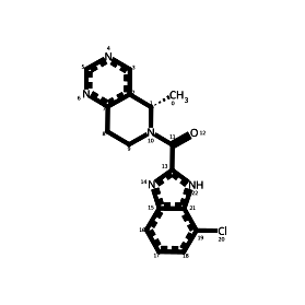 C[C@H]1c2cncnc2CCN1C(=O)c1nc2cccc(Cl)c2[nH]1